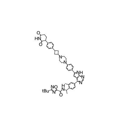 Cc1cc(-c2ncnc3[nH]c(-c4ccc(N5CCN(C6CC(c7ccc(C8CCC(=O)NC8=O)cc7)C6)CC5)cc4)cc23)ccc1C(C)NC(=O)c1nc(C(C)(C)C)no1